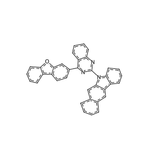 c1ccc2cc3c(cc2c1)c1ccccc1n3-c1nc(-c2ccc3c(c2)oc2ccccc23)c2ccccc2n1